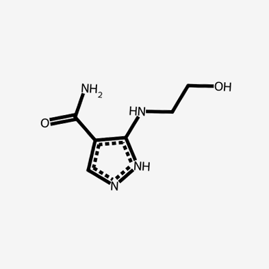 NC(=O)c1cn[nH]c1NCCO